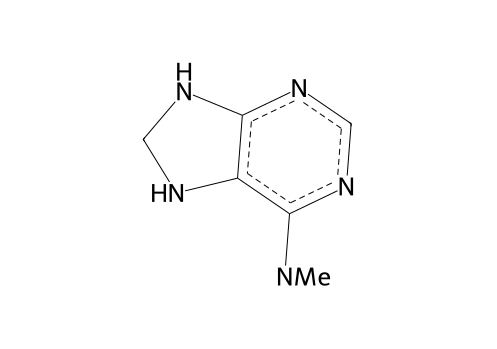 CNc1ncnc2c1NCN2